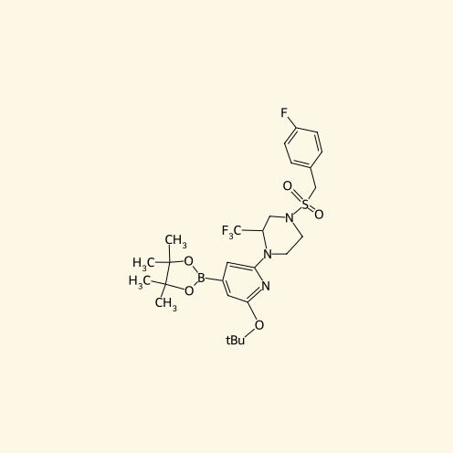 CC(C)(C)Oc1cc(B2OC(C)(C)C(C)(C)O2)cc(N2CCN(S(=O)(=O)Cc3ccc(F)cc3)CC2C(F)(F)F)n1